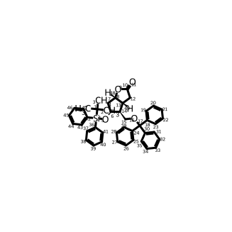 CC(C)(C)[Si](O[C@@H]1C[C@@H]2OC(=O)C[C@@H]2[C@H]1COC(c1ccccc1)(c1ccccc1)c1ccccc1)(c1ccccc1)c1ccccc1